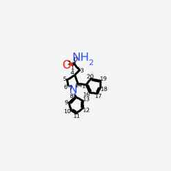 NC(=O)CC1CCN(c2ccccc2)C1c1ccccc1